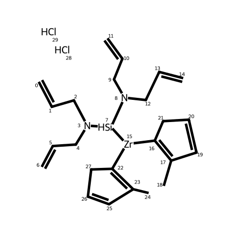 C=CCN(CC=C)[SiH](N(CC=C)CC=C)[Zr]([C]1=C(C)C=CC1)[C]1=C(C)C=CC1.Cl.Cl